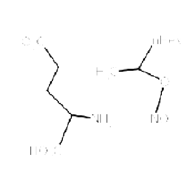 CCCCCCC(C)ON=O.NC(CCC(=O)O)C(=O)O